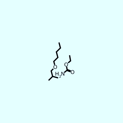 CCCCCOCC(C)C.CCOC(N)=O